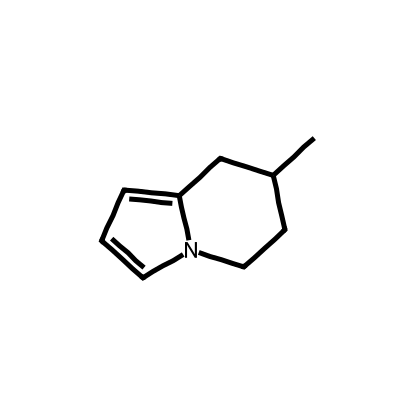 CC1CCn2cccc2C1